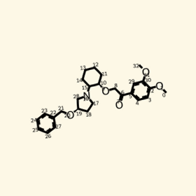 COc1ccc(C(=O)CO[C@@H]2CCCCC2N2CC[C@@H](OCc3ccccc3)C2)cc1OC